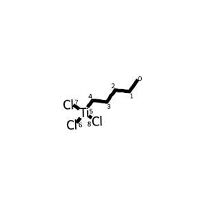 CCCC[CH2][Ti]([Cl])([Cl])[Cl]